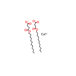 CCCCCCCCCCCCOC(=O)CCC(=O)[O-].CCCCCCCCCCCCOC(=O)CCC(=O)[O-].[Ca+2]